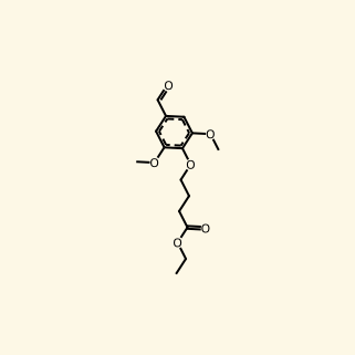 CCOC(=O)CCCOc1c(OC)cc(C=O)cc1OC